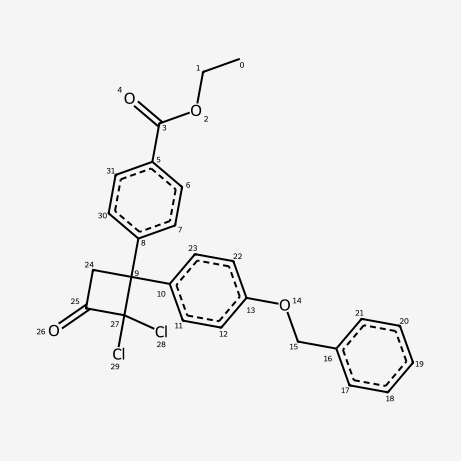 CCOC(=O)c1ccc(C2(c3ccc(OCc4ccccc4)cc3)CC(=O)C2(Cl)Cl)cc1